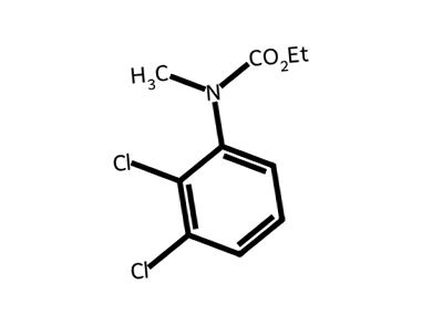 [CH2]COC(=O)N(C)c1cccc(Cl)c1Cl